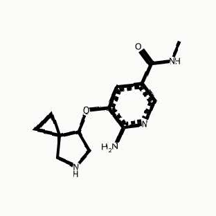 CNC(=O)c1cnc(N)c(OC2CNCC23CC3)c1